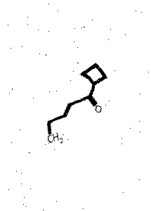 [CH2]CCCC(=O)C1CCC1